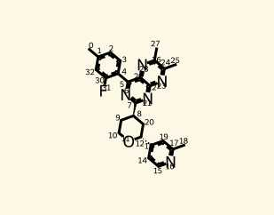 Cc1ccc(-c2nc([C@@H]3CCO[C@@H](c4ccnc(C)c4)C3)nc3nc(C)c(C)nc23)c(F)c1